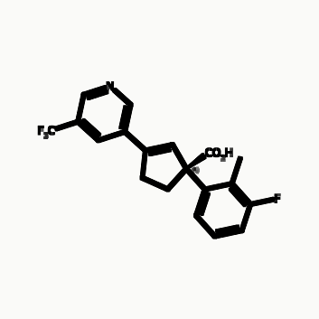 Cc1c(F)cccc1[C@@]1(C(=O)O)C=C(c2cncc(C(F)(F)F)c2)CC1